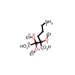 CCOC(CCC[SiH3])(C(=O)O)C(OCC)(OCC)C(=O)O